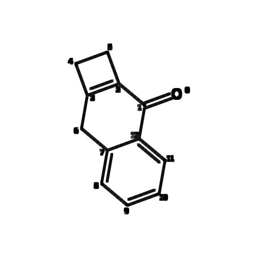 O=C1C2=C(CC2)Cc2ccccc21